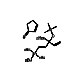 C=CC(C=[CH][Sn]([CH2]CCC)([CH2]CCC)[CH2]CCC)(CCCCCC)O[Si](C)(C)C.O=C1C=CCC1